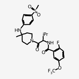 CC(C)C(NC(=O)c1cc(OC(F)(F)F)ccc1F)C(=O)N1CCC(C)(Nc2ccc(S(C)(=O)=O)cc2)CC1